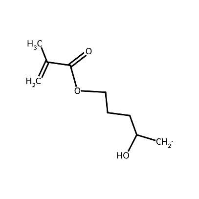 [CH2]C(O)CCCOC(=O)C(=C)C